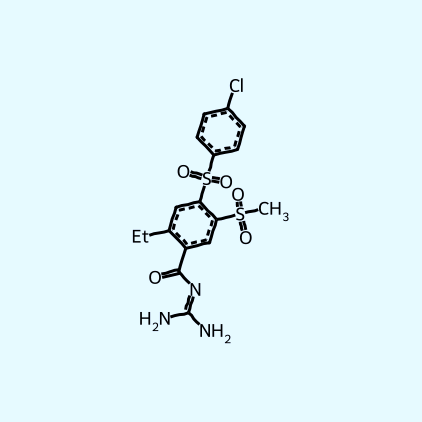 CCc1cc(S(=O)(=O)c2ccc(Cl)cc2)c(S(C)(=O)=O)cc1C(=O)N=C(N)N